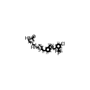 O=C1CN(CCNC2=NCC(=Cc3ccc4c(cnn4Cc4ccc(Cl)cc4C(F)(F)F)c3)S2)CCN1